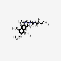 CCNC(=O)/C=C(C)/C=C/C=C(/C)c1ccc2c(C)c(OC)cc(C)c2c1